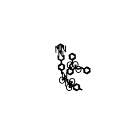 Cc1ccc(S(=O)(=O)N(C)CC(=O)N(Cc2ccc(C3CCN(c4ncccn4)CC3)cc2)c2ccc(C(=O)OCc3ccccc3)c(OCc3ccccc3)c2)cc1